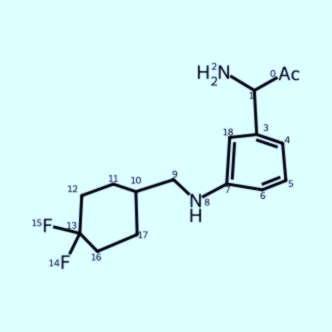 CC(=O)C(N)c1cccc(NCC2CCC(F)(F)CC2)c1